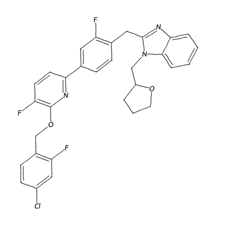 Fc1cc(Cl)ccc1COc1nc(-c2ccc(Cc3nc4ccccc4n3CC3CCCO3)c(F)c2)ccc1F